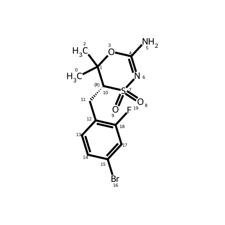 CC1(C)OC(N)=NS(=O)(=O)[C@@H]1Cc1ccc(Br)cc1F